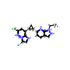 Fc1cnc2c([C@H]3C[C@@H]3c3ccc4cnn(CC(F)(F)F)c4n3)cc(Cl)nn12